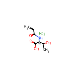 C=CC(=O)N[C@H](C(=O)O)C(C)O.Cl